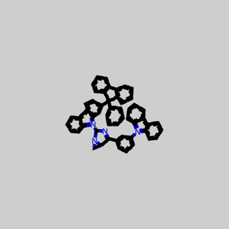 c1ccc(C2(c3ccc4c5ccccc5n(C5N=C(c6cccc(-n7c8ccccc8c8ccccc87)c6)C6CN65)c4c3)c3ccccc3-c3ccccc32)cc1